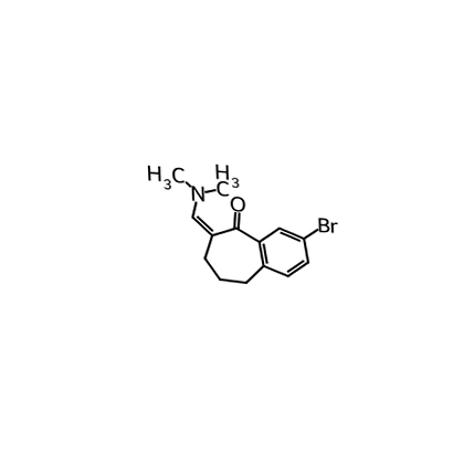 CN(C)C=C1CCCc2ccc(Br)cc2C1=O